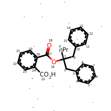 CCCC(Cc1ccccc1)(Cc1ccccc1)OC(=O)c1ccccc1C(=O)O